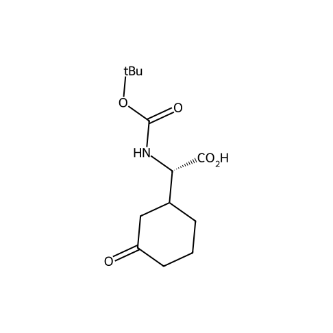 CC(C)(C)OC(=O)N[C@H](C(=O)O)C1CCCC(=O)C1